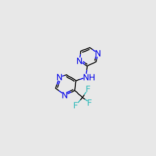 FC(F)(F)c1ncncc1Nc1cnccn1